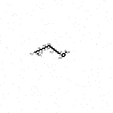 CC/C=C/[C@@H](OC(N)=O)[C@@H](Cl)[C@H](O)CC(=O)[C@@H](O)[C@H](O)[C@H](C)/C=C/C=C/C=C(C)/C=C/C=C/C(=O)O[C@@H]1C[C@@H](C(=O)O)CC[C@@H]1O